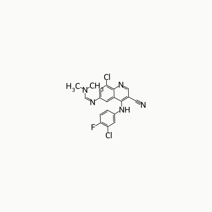 CN(C)/C=N\c1cc(Cl)c2ncc(C#N)c(Nc3ccc(F)c(Cl)c3)c2c1